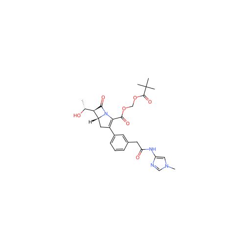 C[C@@H](O)[C@H]1C(=O)N2C(C(=O)OCOC(=O)C(C)(C)C)=C(c3cccc(CC(=O)Nc4cn(C)cn4)c3)C[C@H]12